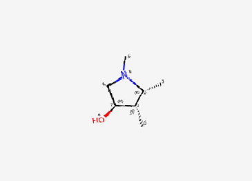 C[C@H]1[C@@H](C)N(C)C[C@@H]1O